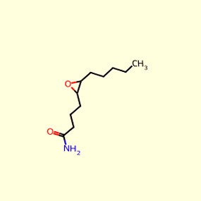 CCCCCC1OC1CCCC(N)=O